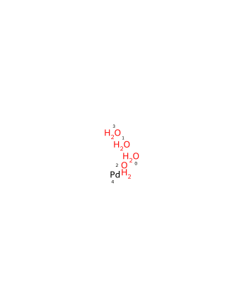 O.O.O.O.[Pd]